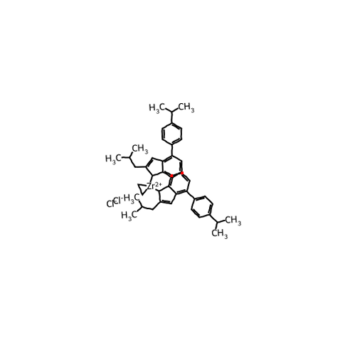 CC(C)CC1=Cc2c(-c3ccc(C(C)C)cc3)cccc2[CH]1[Zr+2]1([CH]2C(CC(C)C)=Cc3c(-c4ccc(C(C)C)cc4)cccc32)[CH2][CH2]1.[Cl-].[Cl-]